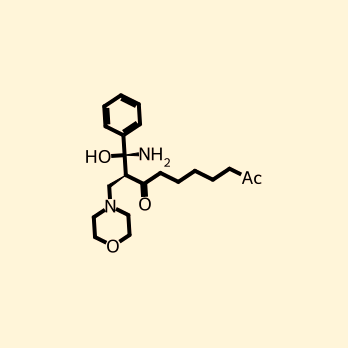 CC(=O)CCCCCC(=O)[C@@H](CN1CCOCC1)[C@](N)(O)c1ccccc1